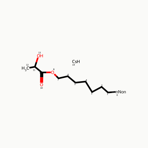 CCCCCCCCCCCCCCCCOC(=O)C(C)O.[CsH]